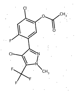 CC(=O)Oc1cc(-c2nn(C)c(C(F)(F)F)c2Cl)c(F)cc1Cl